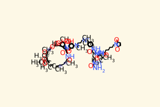 CO[C@H]1/C=C/O[C@H]2Oc3c(C)c(O)c4c(=O)c(c5oc6cc(N(C)CCC[N+](C)(C)Cc7ccc(NC(=O)[C@H](CCCNC(N)=O)NC(=O)[C@@H](NC(=O)CCCCCN8C(=O)C=CC8=O)C(C)C)cc7)cc(O)c6nc-5c4c3C2=O)NC(=O)/C(C)=C\C=C\[C@H](C)C[C@@H](C)C[C@@H](C)[C@H](OC(C)=O)[C@@H]1C